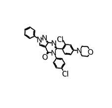 O=c1c2cn(-c3ccccc3)nc2nc(-c2ccc(N3CCOCC3)cc2Cl)n1-c1ccc(Cl)cc1